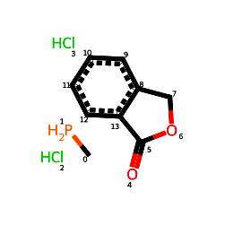 CP.Cl.Cl.O=C1OCc2ccccc21